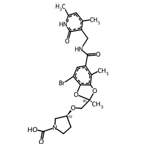 Cc1cc(C)c(CNC(=O)c2cc(Br)c3c(c2C)O[C@@](C)(CO[C@H]2CCN(C(=O)O)C2)O3)c(=O)[nH]1